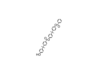 CC(C)(c1ccc(OC(=O)c2ccccc2)cc1)c1ccc(OC(=O)c2ccc(C(C)(C)c3ccc(O)cc3)cc2)cc1